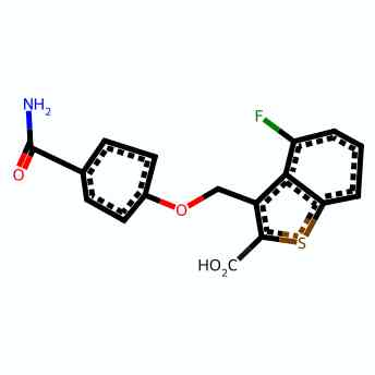 NC(=O)c1ccc(OCc2c(C(=O)O)sc3cccc(F)c23)cc1